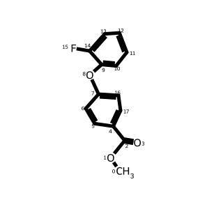 COC(=O)c1ccc(Oc2ccccc2F)cc1